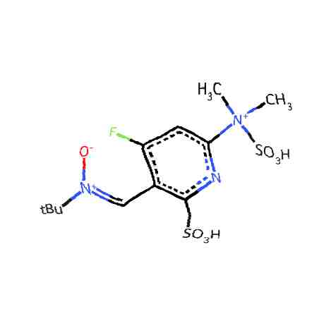 CC(C)(C)[N+]([O-])=Cc1c(F)cc([N+](C)(C)S(=O)(=O)O)nc1S(=O)(=O)O